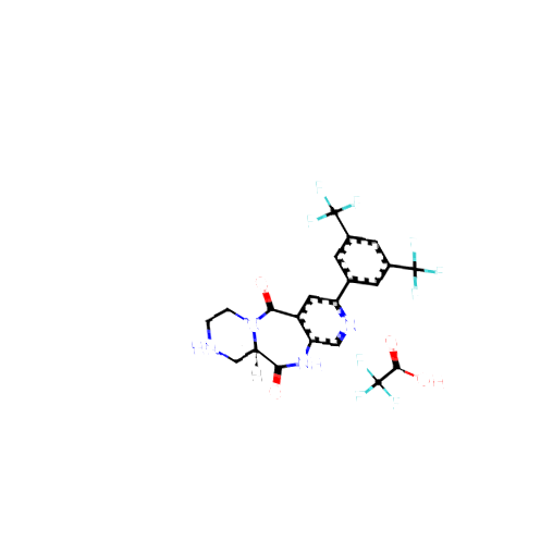 O=C(O)C(F)(F)F.O=C1Nc2cnc(-c3cc(C(F)(F)F)cc(C(F)(F)F)c3)cc2C(=O)N2CCNC[C@@H]12